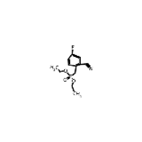 CCOP(=O)(Cc1ccc(F)cc1C#N)OCC